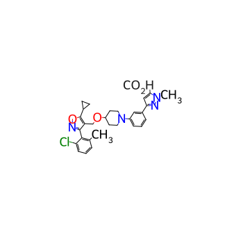 Cc1cccc(Cl)c1-c1noc(C2CC2)c1COC1CCN(c2cccc(-c3cc(C(=O)O)n(C)n3)c2)CC1